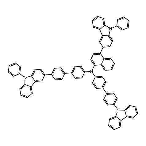 c1ccc(-n2c3ccccc3c3cc(-c4ccc(-c5ccc(N(c6ccc(-c7ccc(-n8c9ccccc9c9ccccc98)cc7)cc6)c6ccc(-c7ccc8c(c7)c7ccccc7n8-c7ccccc7)c7ccccc67)cc5)cc4)ccc32)cc1